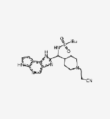 CCC(C)S(=O)(=O)NC(c1nc2cnc3[nH]ccc3c2[nH]1)C1CCN(CCC#N)CC1